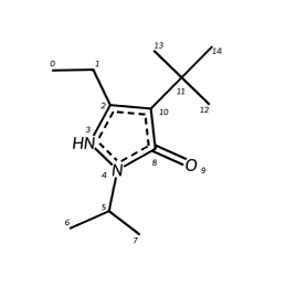 CCc1[nH]n(C(C)C)c(=O)c1C(C)(C)C